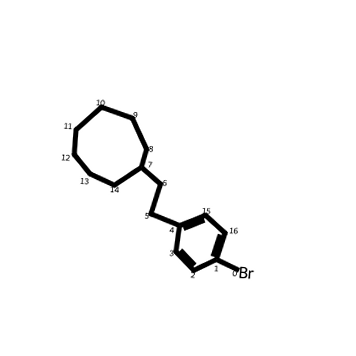 Brc1ccc(CCC2CCCCCCC2)cc1